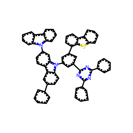 c1ccc(-c2ccc3c(c2)c2ccc(-n4c5ccccc5c5ccccc54)cc2n3-c2cc(-c3nc(-c4ccccc4)nc(-c4ccccc4)n3)cc(-c3cccc4c3sc3ccccc34)c2)cc1